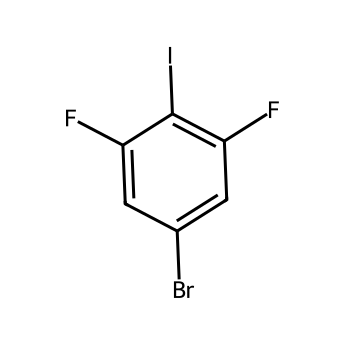 Fc1cc(Br)cc(F)c1I